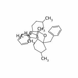 CC(C)=C1CCC(C)CC1(Cc1ccccc1)OC1(Cc2ccccc2)CC(C)CCC1=C(C)C